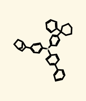 c1ccc(-c2ccc(N(c3ccc(C4CC5CCC4C5)cc3)c3ccc(C4(c5ccccc5)CCCCC4)cc3)cc2)cc1